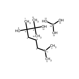 CN(C)CCCC(C)(O)C(C)(C)O.OB(O)O